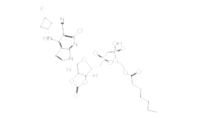 CCCCCCC(=O)OCOP(=O)(O)CS(=O)(=O)C[C@H]1O[C@@H](n2ccc3c(N[C@H]4C[C@@H](F)C4)c(C#N)c(Cl)nc32)[C@@H]2OC(=O)O[C@@H]21